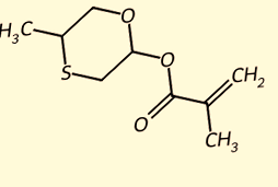 C=C(C)C(=O)OC1CSC(C)CO1